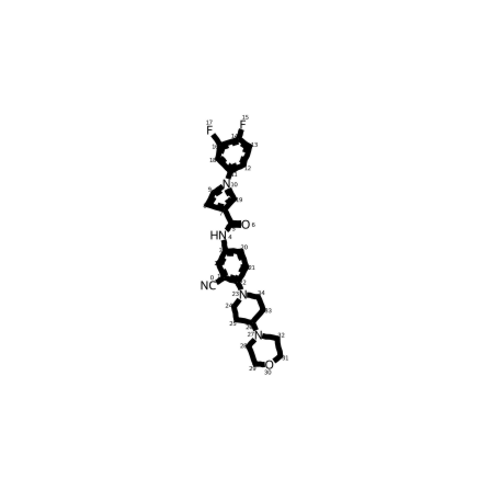 N#Cc1cc(NC(=O)c2ccn(-c3ccc(F)c(F)c3)c2)ccc1N1CCC(N2CCOCC2)CC1